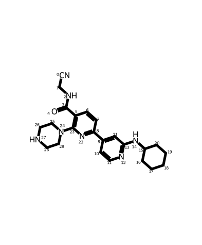 N#CCNC(=O)c1ccc(-c2ccnc(NC3CCCCC3)c2)nc1N1CCNCC1